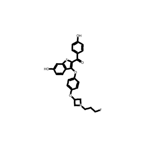 O=C(c1ccc(O)cc1)c1sc2cc(O)ccc2c1Oc1ccc(OC2CN(CCCF)C2)cc1